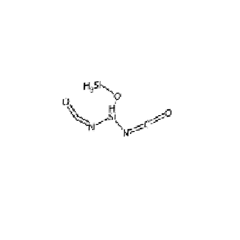 O=C=N[SiH](N=C=O)O[SiH3]